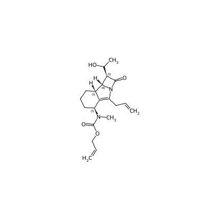 C=CCOC(=O)N(C)[C@H]1CCC[C@H]2C1=C(CC=C)N1C(=O)[C@H](C(C)O)[C@@H]21